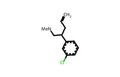 C=CCC(CNC)c1cccc(Cl)c1